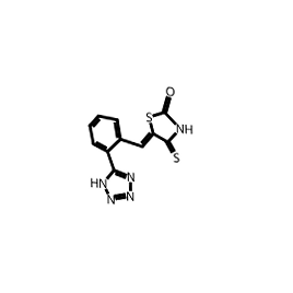 O=C1NC(=S)C(=Cc2ccccc2-c2nnn[nH]2)S1